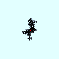 c1ccc(-c2ccc(N(c3ccc(-c4ccccc4N(c4ccccc4)c4ccc5c(c4)c4ccc6sc7ccccc7c6c4n5-c4ccccc4)cc3)c3cccc(-c4ccccc4)c3)cc2)cc1